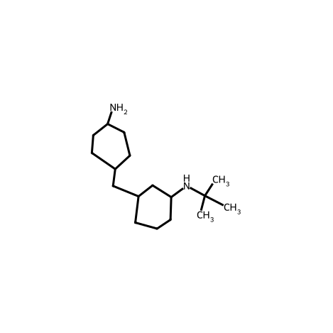 CC(C)(C)NC1CCCC(CC2CCC(N)CC2)C1